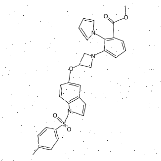 COC(=O)c1cccc(N2CC(Oc3ccc4c(ccn4S(=O)(=O)c4ccc(C)cc4)c3)C2)c1-n1cccc1